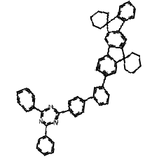 c1ccc(-c2nc(-c3ccccc3)nc(-c3ccc(-c4cccc(-c5ccc6c(c5)C5(CCCCC5)c5cc7c(cc5-6)C5(CCCCC5)c5ccccc5-7)c4)cc3)n2)cc1